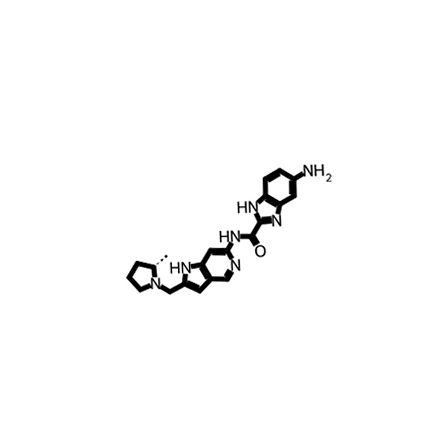 C[C@H]1CCCN1Cc1cc2cnc(NC(=O)c3nc4cc(N)ccc4[nH]3)cc2[nH]1